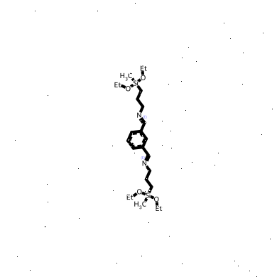 CCO[Si](C)(CCC/N=C/c1cccc(/C=N/CCC[Si](C)(OCC)OCC)c1)OCC